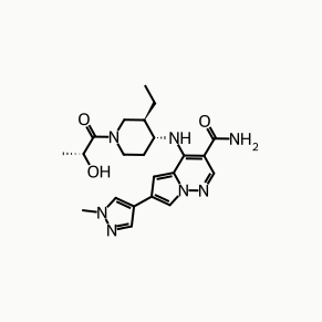 CC[C@@H]1CN(C(=O)[C@@H](C)O)CC[C@H]1Nc1c(C(N)=O)cnn2cc(-c3cnn(C)c3)cc12